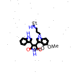 CCNCCCn1cc(C2=C(c3c[nH]c4ccccc34)C(=O)NC2=O)c2c(OC)c(OC)ccc21